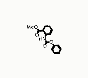 COC(=O)C1CCC=CC1NC(=O)Oc1ccccc1